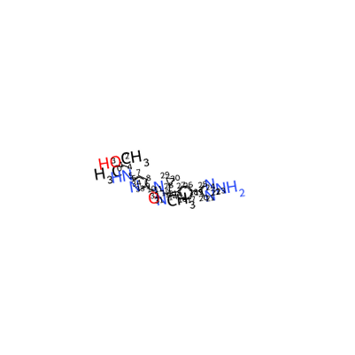 CC(C)(O)CNc1ccc(-c2nc(C(C)(c3ccc(-c4cnc(N)nc4)cc3)C3CC3)no2)cn1